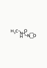 CCNC(=O)[CH]N1CCOCC1